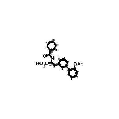 CC(=O)Oc1ccccc1-c1cccc(/C=C(\NC(=O)c2ccccc2)C(=O)O)c1